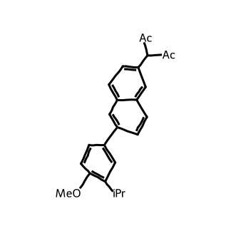 COc1ccc(-c2ccc3cc(C(C(C)=O)C(C)=O)ccc3c2)cc1C(C)C